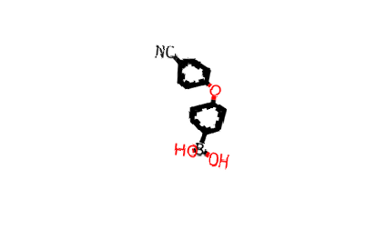 N#Cc1ccc(Oc2ccc(B(O)O)cc2)cc1